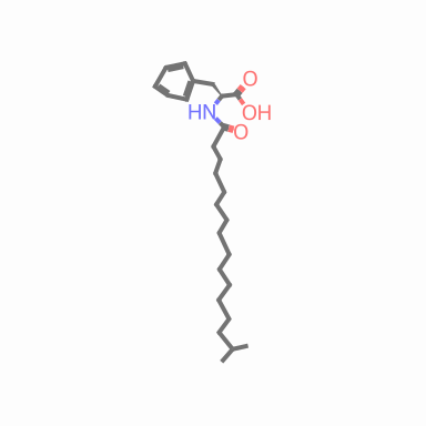 CC(C)CCCCCCCCCCCCCC(=O)N[C@@H](Cc1ccccc1)C(=O)O